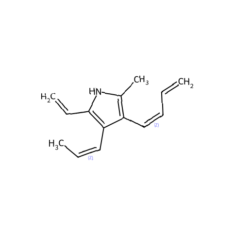 C=C/C=C\c1c(C)[nH]c(C=C)c1/C=C\C